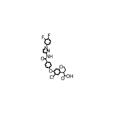 O=C(Nc1ccn(-c2ccc(F)c(F)c2)n1)c1ccc(Oc2cc3c(cc2Cl)C(C(=O)O)CCO3)cc1